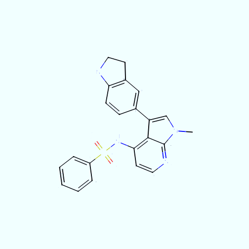 Cn1cc(-c2ccc3c(c2)CCN3)c2c(NS(=O)(=O)c3ccccc3)ccnc21